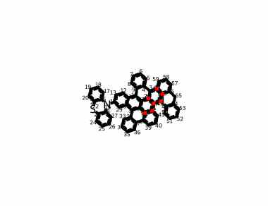 c1ccc(-c2ccccc2-c2c3ccc(N4c5ccccc5Sc5ccccc54)cc3c(-c3ccccc3-c3ccccc3)c3ccc(N4c5ccccc5Cc5ccccc54)cc23)cc1